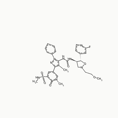 CNS(=O)(=O)c1cc(-c2nn(-c3ccccc3)c(NC(=O)N[C@@H]3CN(CCOC)O[C@H]3c3ccnc(F)c3)c2C)cn(C)c1=O